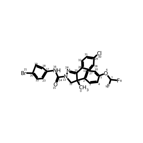 CC1(c2ccc(OC(F)F)cc2)CN(C(=O)Nc2ccc(Br)cc2)N=C1c1ccc(Cl)cc1